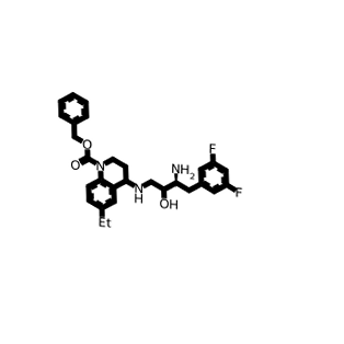 CCc1ccc2c(c1)C(NCC(O)[C@@H](N)Cc1cc(F)cc(F)c1)CCN2C(=O)OCc1ccccc1